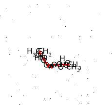 C=C(C)C(=O)OCCNC(=O)OCCCOc1ccc2ccc(OCCCOC(=O)NCCOC(=O)C(=C)C)cc2c1